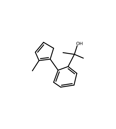 CC1=C(c2ccccc2C(C)(C)O)CC=C1